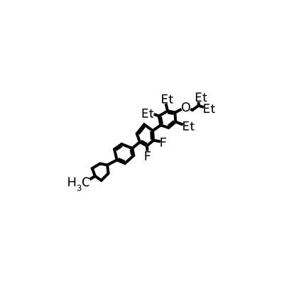 CCc1cc(-c2ccc(-c3ccc(C4CCC(C)CC4)cc3)c(F)c2F)c(CC)c(CC)c1OCC(CC)CC